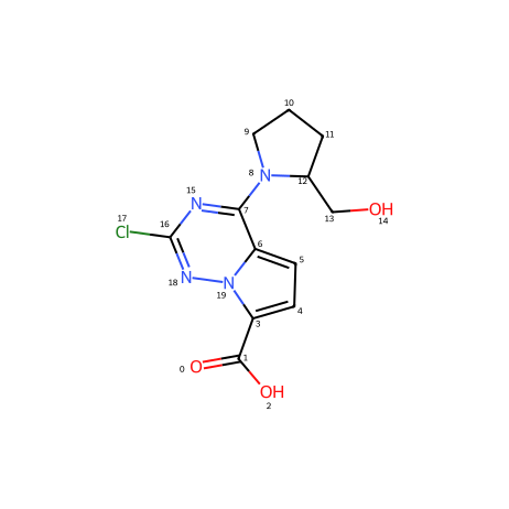 O=C(O)c1ccc2c(N3CCCC3CO)nc(Cl)nn12